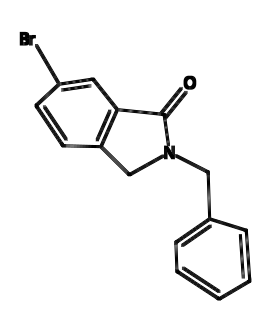 O=C1c2cc(Br)ccc2CN1Cc1ccccc1